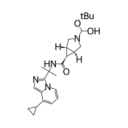 CC(C)(C)OC(O)N1C[C@@H]2[C@H](C1)[C@H]2C(=O)NC(C)(C)c1ncc2c(C3CC3)cccn12